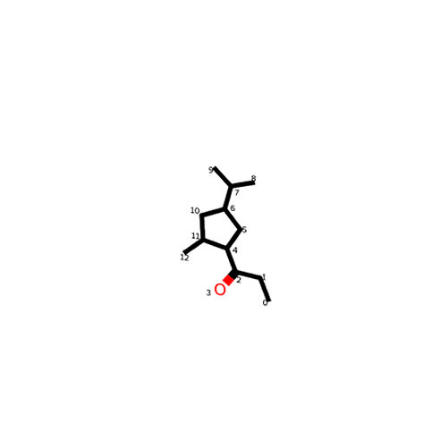 CCC(=O)C1CC(C(C)C)CC1C